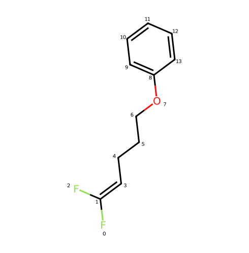 FC(F)=CCCCOc1ccccc1